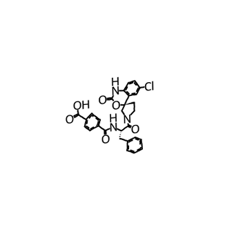 O=C1Nc2ccc(Cl)cc2[C@@]2(CCN(C(=O)[C@H](Cc3ccccc3)NC(=O)c3ccc(C(=O)O)cc3)C2)O1